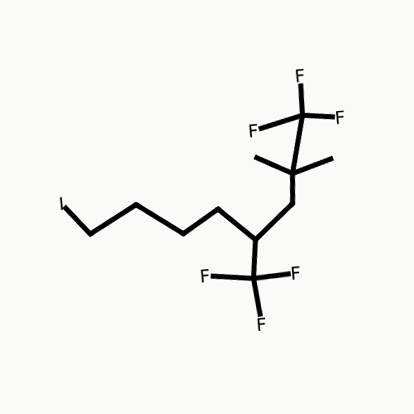 CC(C)(CC(CCCCI)C(F)(F)F)C(F)(F)F